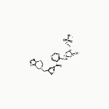 NS(=O)(=O)OC[C@H]1C[C@@H](Nc2ncncc2C(=O)c2cc(CN3CCn4ccnc4C3)cs2)C[C@@H]1O